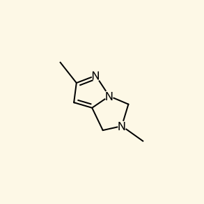 Cc1cc2n(n1)CN(C)C2